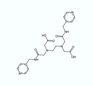 O=C(O)CN(CCN(CC(=O)O)CC(=O)NCc1ccncc1)CC(=O)NCc1ccncc1